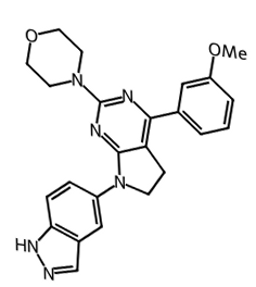 COc1cccc(-c2nc(N3CCOCC3)nc3c2CCN3c2ccc3[nH]ncc3c2)c1